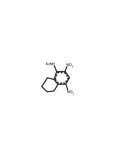 CC(=O)Nc1c([N+](=O)[O-])cc([N+](=O)[O-])c2c1CCCC2